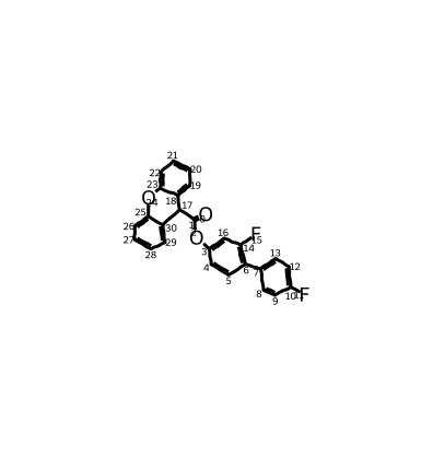 O=C(Oc1ccc(-c2ccc(F)cc2)c(F)c1)C1c2ccccc2Oc2ccccc21